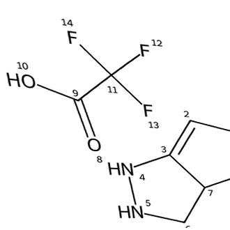 C1=NC=C2NNCC12.O=C(O)C(F)(F)F